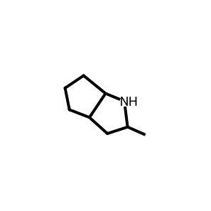 CC1CC2CCCC2N1